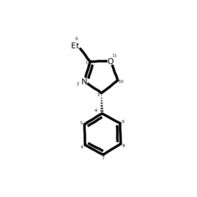 CCC1=N[C@@H](c2ccccc2)CO1